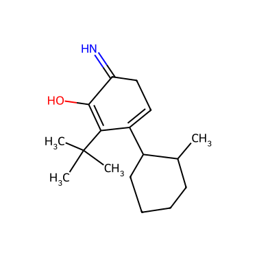 CC1CCCCC1C1=CCC(=N)C(O)=C1C(C)(C)C